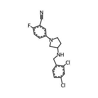 N#Cc1cc(N2CCC(NCc3ccc(Cl)cc3Cl)C2)ccc1F